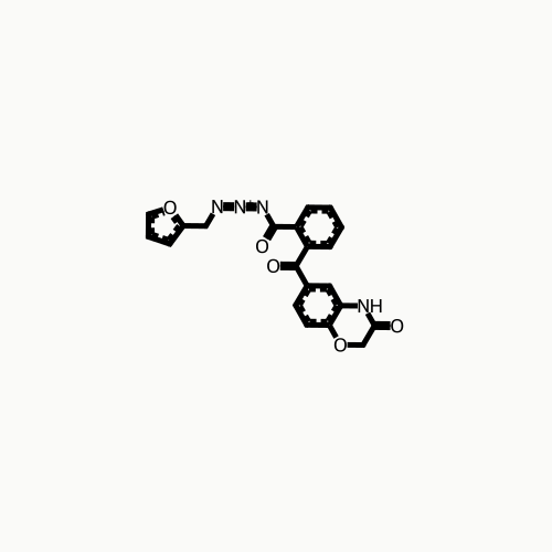 O=C1COc2ccc(C(=O)c3ccccc3C(=O)N=[N+]=NCc3ccco3)cc2N1